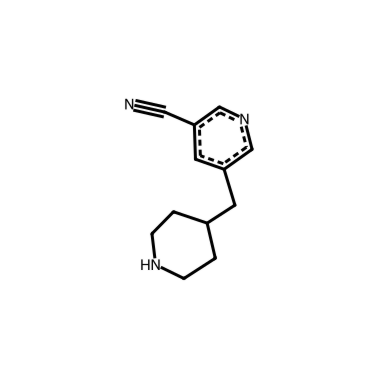 N#Cc1cncc(CC2CCNCC2)c1